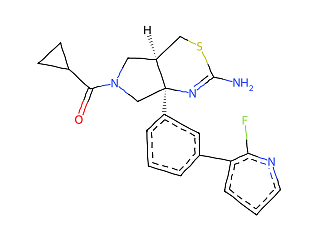 NC1=N[C@@]2(c3cccc(-c4cccnc4F)c3)CN(C(=O)C3CC3)C[C@H]2CS1